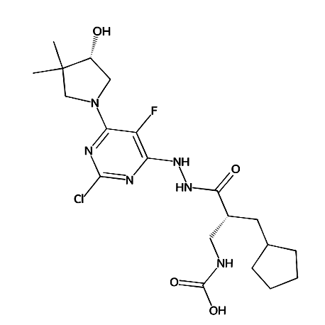 CC1(C)CN(c2nc(Cl)nc(NNC(=O)[C@@H](CNC(=O)O)CC3CCCC3)c2F)C[C@H]1O